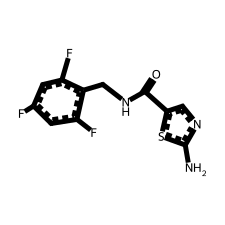 Nc1ncc(C(=O)NCc2c(F)cc(F)cc2F)s1